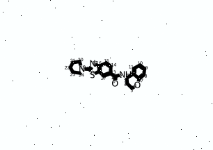 O=C(NC1CCOc2ccccc21)c1ccc2nc(N3CCCCC3)sc2c1